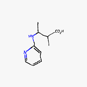 CC(Nc1ccccn1)C(C)C(=O)O